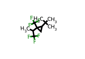 CC(C(F)(F)F)C1(C(F)(F)F)CC1C(C)(C)C